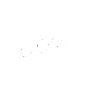 CC1(C(=O)N2CC=C(B3OC(C)(C)C(C)(C)O3)CC2)COC1